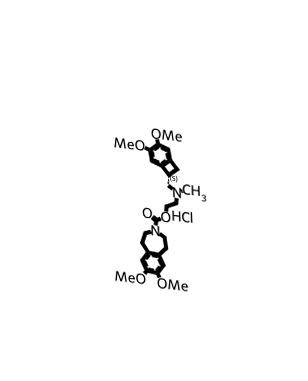 COc1cc2c(cc1OC)CCN(C(=O)OCCN(C)C[C@H]1Cc3cc(OC)c(OC)cc31)CC2.Cl